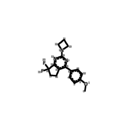 COc1ccc(-c2nc(N3CCC3)nc3c2CCC3(F)F)cc1